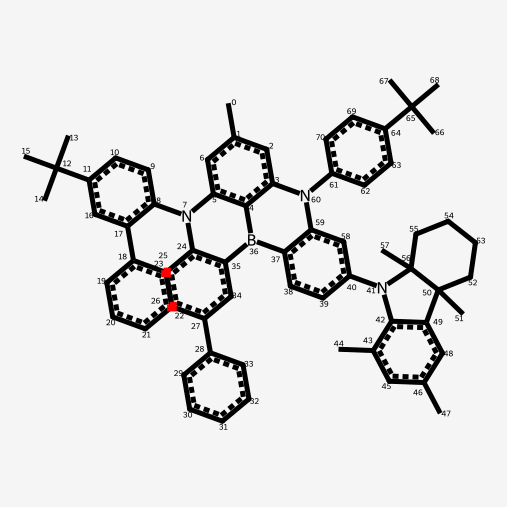 Cc1cc2c3c(c1)N(c1ccc(C(C)(C)C)cc1-c1ccccc1)c1ccc(-c4ccccc4)cc1B3c1ccc(N3c4c(C)cc(C)cc4C4(C)CCCCC34C)cc1N2c1ccc(C(C)(C)C)cc1